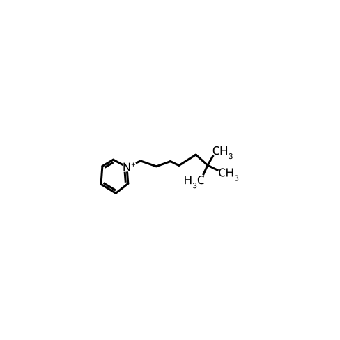 CC(C)(C)CCCCC[n+]1ccccc1